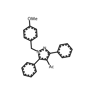 COc1ccc(Cn2nc(-c3ccccc3)c(C(C)=O)c2-c2ccccc2)cc1